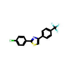 FC(F)(F)c1ccc(-c2csc(-c3ccc(Cl)cc3)n2)cc1